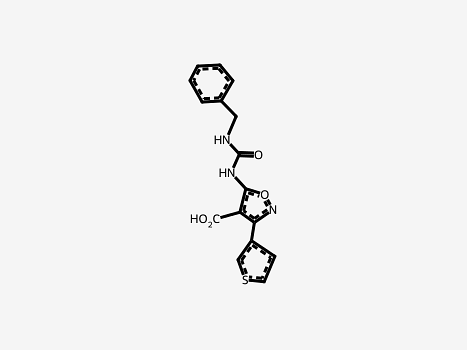 O=C(NCc1ccccc1)Nc1onc(-c2ccsc2)c1C(=O)O